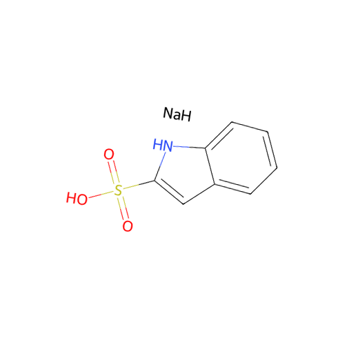 O=S(=O)(O)c1cc2ccccc2[nH]1.[NaH]